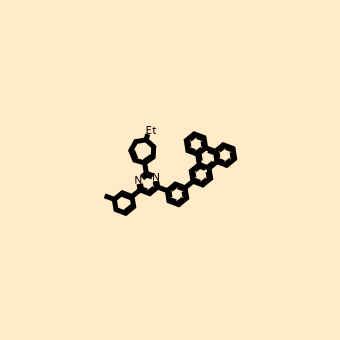 CCC1CC=CC(c2nc(C3=CC(C)CC=C3)cc(-c3cccc(-c4ccc5c6ccccc6c6ccccc6c5c4)c3)n2)=CC1